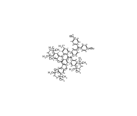 Cc1cc2c3c(c1)N(c1cc4c(cc1C)C(C)(C)CCC4(C)C)c1cc4c(cc1B3N(c1ccc3c(c1)C(C)(C)CCC3(C)C)c1ccc(N(c3ccc(C(C)(C)C)cc3)c3ccc(C(C)(C)C)cc3)cc1-2)sc1cc2c(cc14)C(C)(C)CCC2(C)C